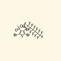 CS(=O)(=O)c1c(Br)sc(Br)c1S(=O)(=O)C(F)(F)C(F)(F)C(F)(F)C(F)(F)C(F)(F)C(F)(F)F